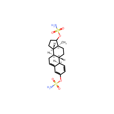 C[C@]12CC[C@H]3[C@@H](CC=C4C=C(OS(N)(=O)=O)C=C[C@@H]43)[C@@H]1CCC2OS(N)(=O)=O